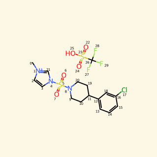 C[n+]1ccn(S(=O)(=O)N2CCC(c3cccc(Cl)c3)CC2)c1.O=S(=O)(O)C(F)(F)F